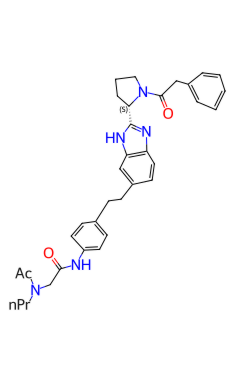 CCCN(CC(=O)Nc1ccc(CCc2ccc3nc([C@@H]4CCCN4C(=O)Cc4ccccc4)[nH]c3c2)cc1)C(C)=O